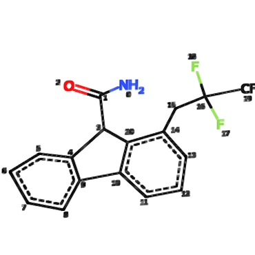 NC(=O)C1c2ccccc2-c2cccc(CC(F)(F)C(F)(F)F)c21